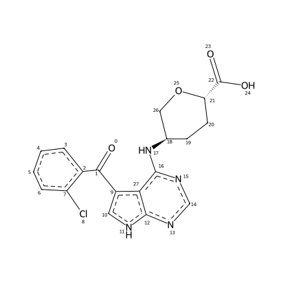 O=C(c1ccccc1Cl)c1c[nH]c2ncnc(N[C@@H]3CC[C@@H](C(=O)O)OC3)c12